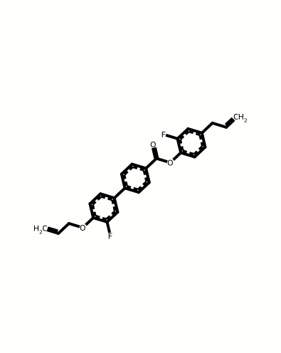 C=CCOc1ccc(-c2ccc(C(=O)Oc3ccc(CC=C)cc3F)cc2)cc1F